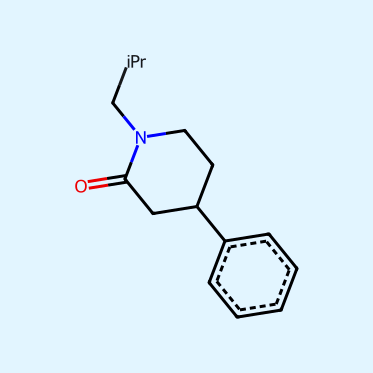 CC(C)CN1CCC(c2ccccc2)CC1=O